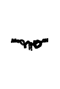 C=C(CNc1ccc(O)cc1)OC